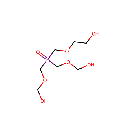 O=P(COCO)(COCO)COCCO